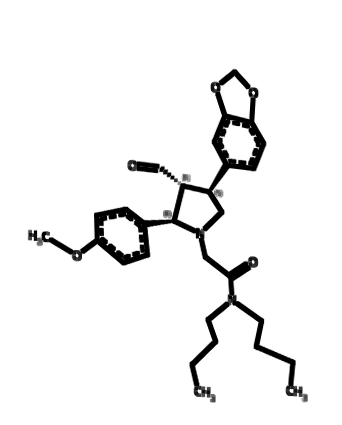 CCCCN(CCCC)C(=O)CN1C[C@H](c2ccc3c(c2)OCO3)[C@@H](C=O)[C@@H]1c1ccc(OC)cc1